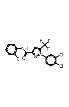 O=C(Nc1ccccc1Cl)c1cc(C(F)(F)F)n(-c2ccc(Cl)c(Cl)c2)n1